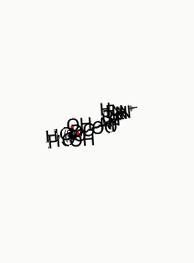 [N-]=[N+]=Nc1c(F)c(F)c(C(=O)NCCOCCOCCO[C@H]2OC(CO)[C@@H](O)[C@H](O)C2O)c(F)c1F